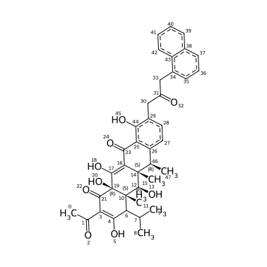 CC(=O)C1=C(O)C(C(C)C)[C@@]2(C)[C@H](O)[C@]3(C)C(=C(O)[C@@]2(O)C1=O)C(=O)c1c(ccc(CC(=O)Cc2cccc4ccccc24)c1O)[C@H]3C